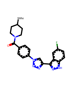 CNC1CCN(C(=O)c2ccc(-n3cc(-c4n[nH]c5ccc(F)cc45)nn3)cc2)CC1